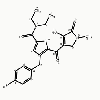 CCN(CC)C(=O)c1cc(Cc2ccc(F)cc2)c(C(=O)C2=C(O)C(=O)N(C)C2)o1